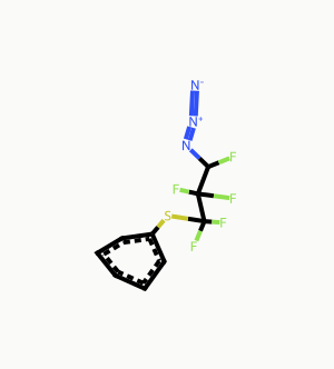 [N-]=[N+]=NC(F)C(F)(F)C(F)(F)Sc1ccccc1